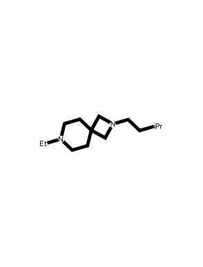 CCN1CCC2(CC1)CN(CCC(C)C)C2